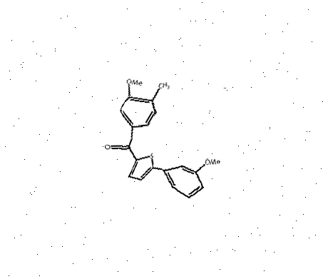 COc1cccc(-c2ccc(C(=O)c3ccc(C)c(OC)c3)s2)c1